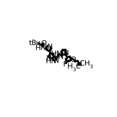 CN(C)CCOc1cc(F)cc(-c2nccc3[nH]c(-c4n[nH]c5ncc(-c6cncc(NC(=O)CC(C)(C)C)c6)cc45)nc23)c1